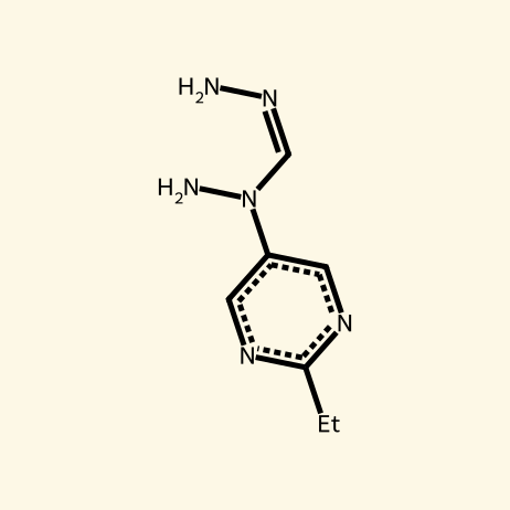 CCc1ncc(N(N)/C=N\N)cn1